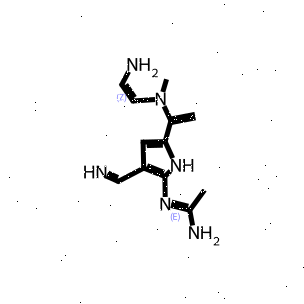 C=C(c1cc(C=N)c(/N=C(\C)N)[nH]1)N(C)/C=C\N